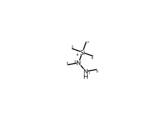 CNN(C)[Si](C)(C)C